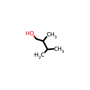 [CH2]C(C)C(C)CO